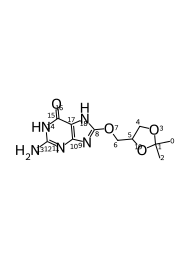 CC1(C)OCC(COc2nc3nc(N)[nH]c(=O)c3[nH]2)O1